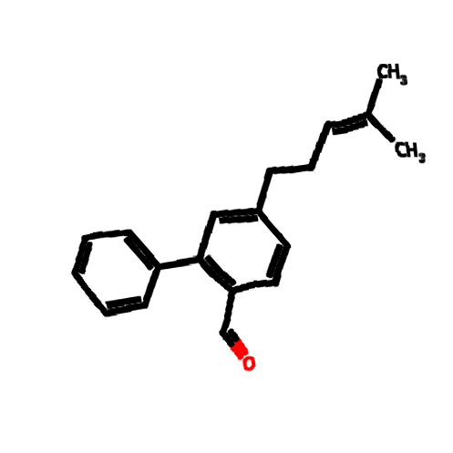 CC(C)=CCCc1ccc(C=O)c(-c2ccccc2)c1